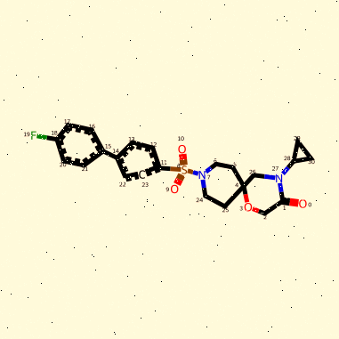 O=C1COC2(CCN(S(=O)(=O)c3ccc(-c4ccc(F)cc4)cc3)CC2)CN1C1CC1